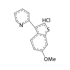 COc1ccc2c(-c3ccccn3)csc2c1.Cl